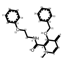 C=C1C=CN(C)C(C(=O)NCCOc2ccccc2)=C1OCc1ccccc1